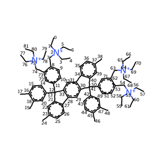 CC[N+](CC)(CC)Cc1ccc(C2(c3ccc(C)c(C)c3)c3cc(C)ccc3-c3cc4c(cc32)-c2ccc(C)cc2C4(c2ccc(C)c(C)c2)c2ccc(C[N+](CC)(CC)CC)c(C[N+](CC)(CC)CC)c2)cc1C[N+](CC)(CC)CC